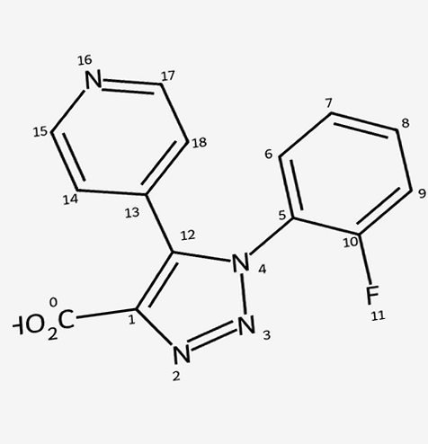 O=C(O)c1nnn(-c2ccccc2F)c1-c1ccncc1